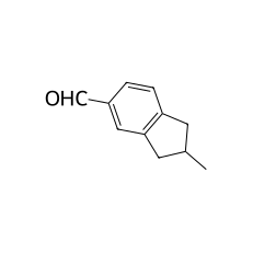 CC1Cc2ccc(C=O)cc2C1